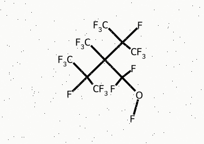 FOC(F)(F)C(C(F)(F)F)(C(F)(C(F)(F)F)C(F)(F)F)C(F)(C(F)(F)F)C(F)(F)F